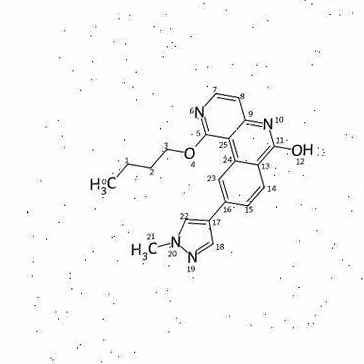 CCCCOc1nccc2nc(O)c3ccc(-c4cnn(C)c4)cc3c12